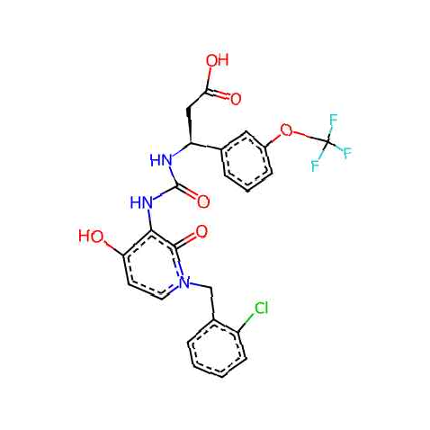 O=C(O)C[C@H](NC(=O)Nc1c(O)ccn(Cc2ccccc2Cl)c1=O)c1cccc(OC(F)(F)F)c1